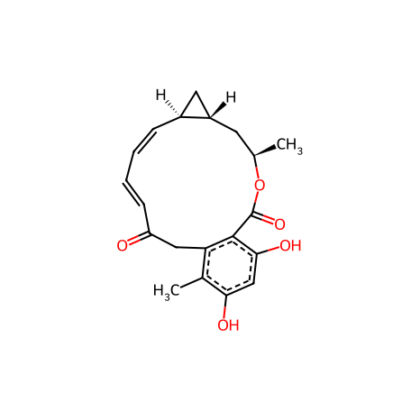 Cc1c(O)cc(O)c2c1CC(=O)/C=C/C=C\[C@H]1C[C@@H]1C[C@@H](C)OC2=O